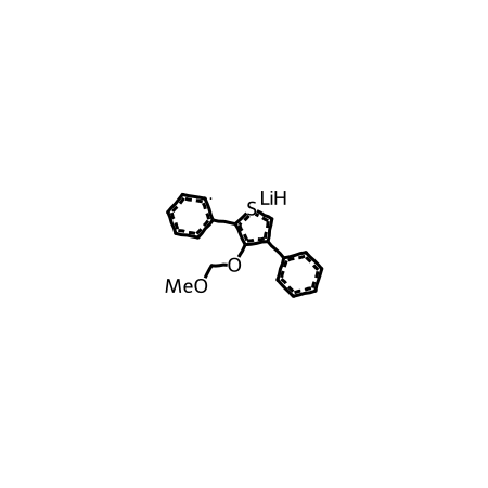 COCOc1c(-c2ccccc2)csc1-c1[c]cccc1.[LiH]